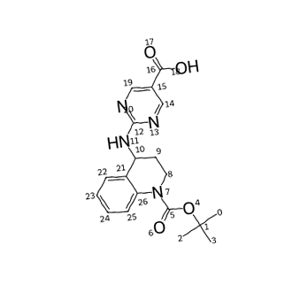 CC(C)(C)OC(=O)N1CCC(Nc2ncc(C(=O)O)cn2)c2ccccc21